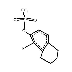 CS(=O)(=O)Oc1ccc2c(c1F)CCCC2